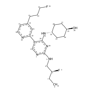 CC[C@H](F)CNc1ncc(-c2cc(CCCF)ccn2)c(N[C@H]2CC[C@H](O)CC2)n1